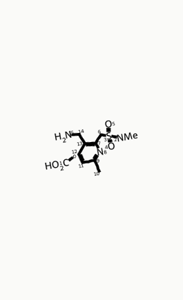 CC(=O)O.CNS(=O)(=O)Cc1nc(C)ccc1CN